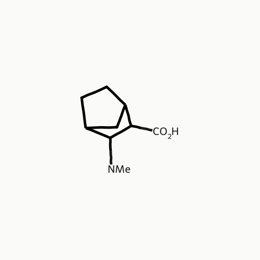 CNC1C2CCC(C2)C1C(=O)O